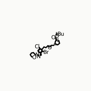 CC(C)(C)OC(=O)N1CCC[C@@H](CCOCCCc2c(Cl)cc3c(cnn3C3CCCCO3)c2Br)C1